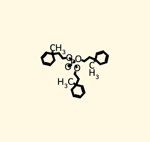 CC1(CCOP(=O)(OCCC2(C)C=CC=CC2)OCCC2(C)C=CC=CC2)C=CC=CC1